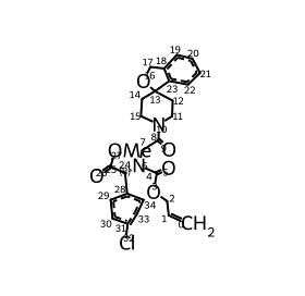 C=CCOC(=O)N(CC(=O)N1CCC2(CC1)OCc1ccccc12)[C@@H](C(=O)OC)c1ccc(Cl)cc1